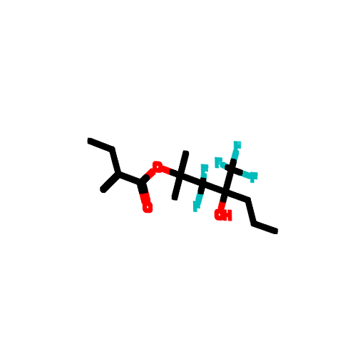 CCCC(O)(C(F)(F)F)C(F)(F)C(C)(C)OC(=O)C(C)CC